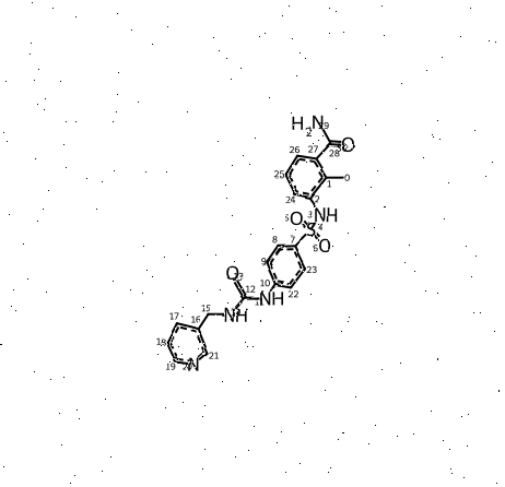 Cc1c(NS(=O)(=O)c2ccc(NC(=O)NCc3cccnc3)cc2)cccc1C(N)=O